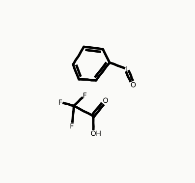 O=C(O)C(F)(F)F.O=Ic1ccccc1